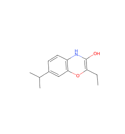 CCC1=C(O)Nc2ccc(C(C)C)cc2O1